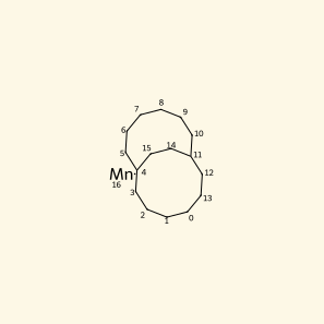 C1CCCC2CCCCCCC(CC1)CC2.[Mn]